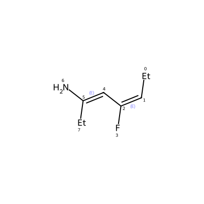 CC/C=C(F)\C=C(\N)CC